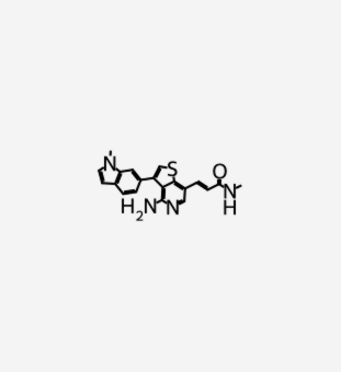 CNC(=O)C=Cc1cnc(N)c2c(-c3ccc4ccn(C)c4c3)csc12